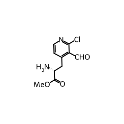 COC(=O)[C@H](N)Cc1ccnc(Cl)c1C=O